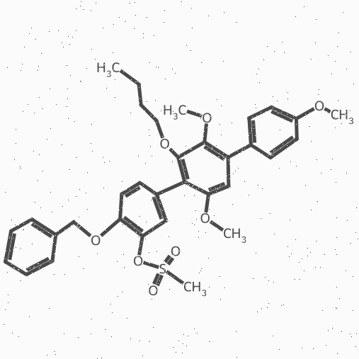 CCCCOc1c(OC)c(-c2ccc(OC)cc2)cc(OC)c1-c1ccc(OCc2ccccc2)c(OS(C)(=O)=O)c1